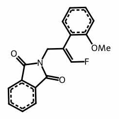 COc1ccccc1/C(=C\F)CN1C(=O)c2ccccc2C1=O